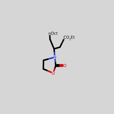 CCCCCCCCCC(CC(=O)OCC)N1CCOC1=O